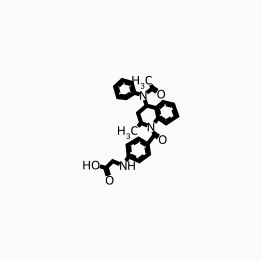 CC(=O)N(c1ccccc1)C1CC(C)N(C(=O)c2ccc(NCC(=O)O)cc2)c2ccccc21